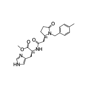 COC(=O)[C@H](Cc1c[nH]cn1)NC(=O)C[C@H]1CCC(=O)N1Cc1ccc(C)cc1